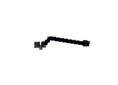 CCCC/C=C\C=C\CCCCCCCCCCCCCCCBr